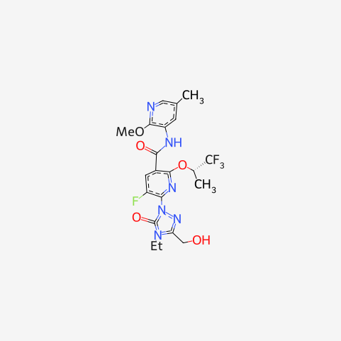 CCn1c(CO)nn(-c2nc(O[C@@H](C)C(F)(F)F)c(C(=O)Nc3cc(C)cnc3OC)cc2F)c1=O